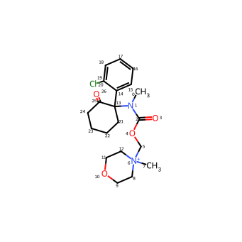 CN(C(=O)OC[N+]1(C)CCOCC1)C1(c2ccccc2Cl)CCCCC1=O